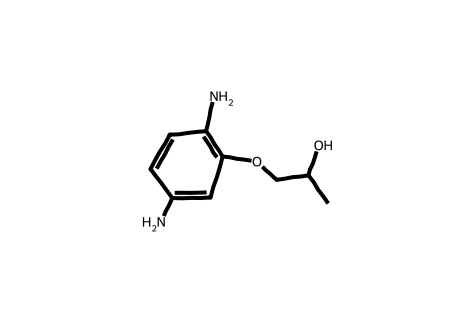 CC(O)COc1cc(N)ccc1N